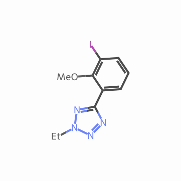 CCn1nnc(-c2cccc(I)c2OC)n1